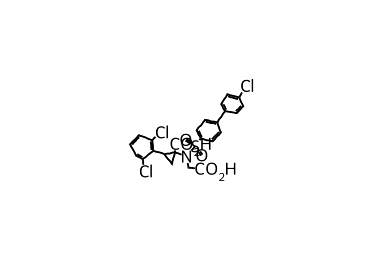 O=C(O)CN(C1(C(=O)O)CC1c1c(Cl)cccc1Cl)S(=O)(=O)c1ccc(-c2ccc(Cl)cc2)cc1